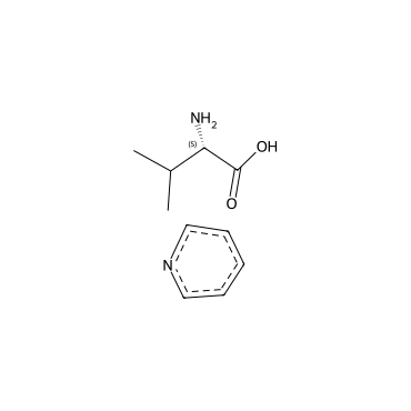 CC(C)[C@H](N)C(=O)O.c1ccncc1